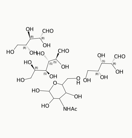 CC(=O)NC1C(O)C(O)OC(CO)C1O.O=C[C@@H](O)[C@@H](O)[C@@H](O)[C@H](O)CO.O=C[C@H](O)[C@@H](O)[C@H](O)CO.O=C[C@H](O)[C@H](O)[C@H](O)CO